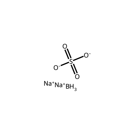 B.O=S(=O)([O-])[O-].[Na+].[Na+]